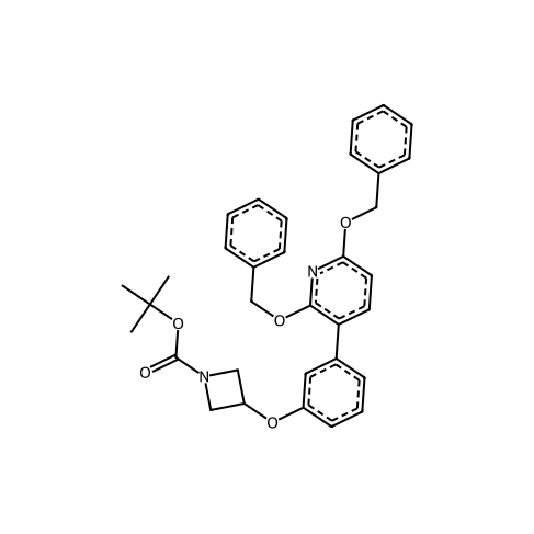 CC(C)(C)OC(=O)N1CC(Oc2cccc(-c3ccc(OCc4ccccc4)nc3OCc3ccccc3)c2)C1